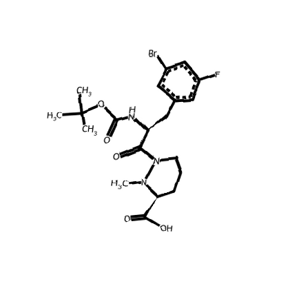 CN1[C@H](C(=O)O)CCCN1C(=O)[C@H](Cc1cc(F)cc(Br)c1)NC(=O)OC(C)(C)C